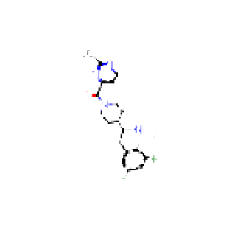 N[C@H](Cc1cc(F)cc(F)c1F)C1CCN(C(=O)c2ccnc(C(F)(F)F)n2)CC1